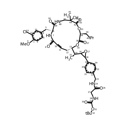 COc1ccc(C[C@H]2NC(=O)/C=C/C[C@@H]([C@H](C)C3OC3c3ccc(CNC(=O)CNC(=O)OC(C)(C)C)cc3)OC(=O)[C@H](CC(C)C)OC(=O)C(C)(C)CNC2=O)cc1Cl